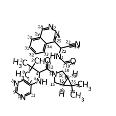 CC(C)(C)C(Nc1cncnc1)C(=O)N1C[C@H]2[C@@H]([C@H]1C(=O)NC(C#N)c1nncc3ccccc13)C2(C)C